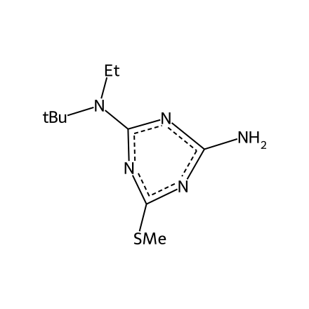 CCN(c1nc(N)nc(SC)n1)C(C)(C)C